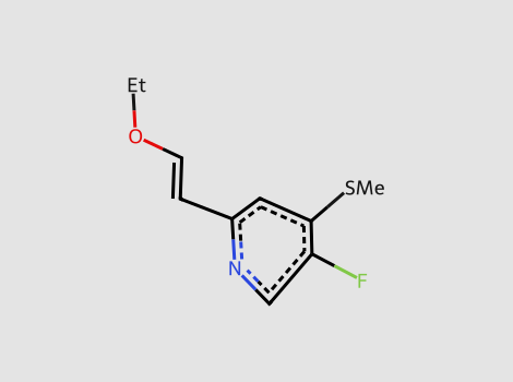 CCOC=Cc1cc(SC)c(F)cn1